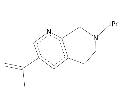 C=C(C)c1cnc2c(c1)CCN(C(C)C)C2